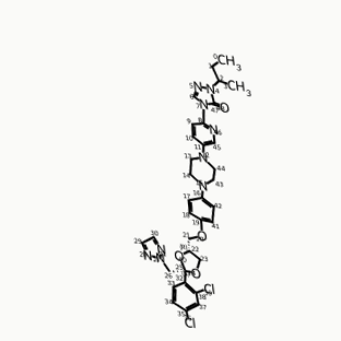 CCC(C)n1ncn(-c2ccc(N3CCN(c4ccc(OC[C@@H]5CO[C@@](Cn6nccn6)(c6ccc(Cl)cc6Cl)O5)cc4)CC3)cn2)c1=O